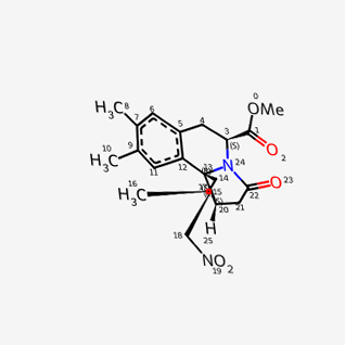 COC(=O)[C@@H]1Cc2cc(C)c(C)cc2[C@@]23C[C@H](C)[C@@H](C[N+](=O)[O-])[C@@H]2CC(=O)N13